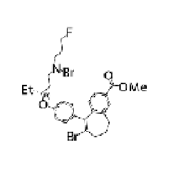 CC[C@H](CCN(Br)CCCF)Oc1ccc(C2=C(Br)CCCc3cc(C(=O)OC)ccc32)cc1